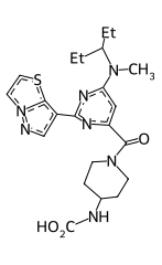 CCC(CC)N(C)c1cc(C(=O)N2CCC(NC(=O)O)CC2)nc(-c2cnn3ccsc23)n1